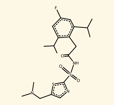 CC(C)c1cc(F)cc(C(C)C)c1CC(=O)NS(=O)(=O)c1ncc(CN(C)C)s1